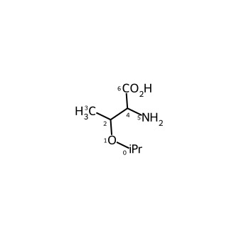 CC(C)OC(C)C(N)C(=O)O